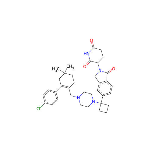 CC1(C)CCC(CN2CCN(C3(c4ccc5c(c4)CN(C4CCC(=O)NC4=O)C5=O)CCC3)CC2)=C(c2ccc(Cl)cc2)C1